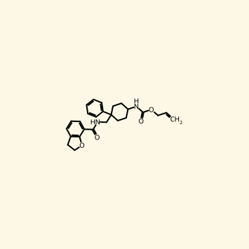 C=CCOC(=O)NC1CCC(CNC(=O)c2cccc3c2OCC3)(c2ccccc2)CC1